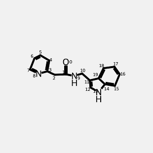 O=C(Cc1ccccn1)NCc1c[nH]c2ccccc12